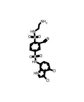 N#Cc1cc(S(=O)(=O)Nc2ccc(Cl)c3c(Cl)c[nH]c23)ccc1S(=O)(=O)NCCN